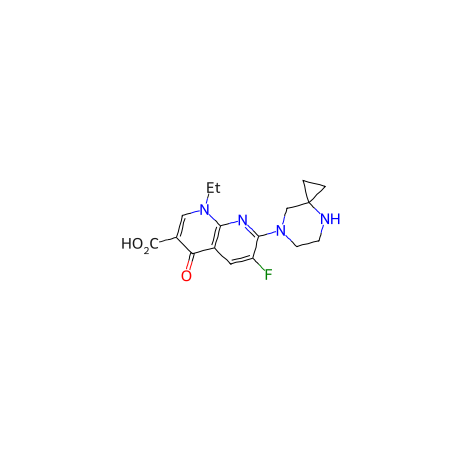 CCn1cc(C(=O)O)c(=O)c2cc(F)c(N3CCNC4(CC4)C3)nc21